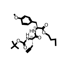 C#CC[C@H](NC(=O)OC(C)(C)C)C(=O)N[C@@H](Cc1ccc(OC)cc1)C(=O)OCCCC